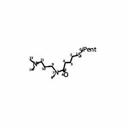 CCCC(C)SCCCC(=O)N(C)CCCN(C)C